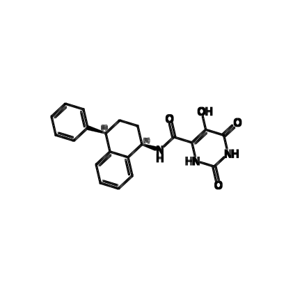 O=C(N[C@@H]1CC[C@H](c2ccccc2)c2ccccc21)c1[nH]c(=O)[nH]c(=O)c1O